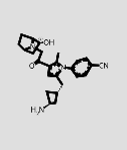 Cc1c(C(=O)CN2C3CCC2[C@@H](O)C3)cc(C[C@H]2C[C@H](N)C2)n1-c1ccc(C#N)cc1